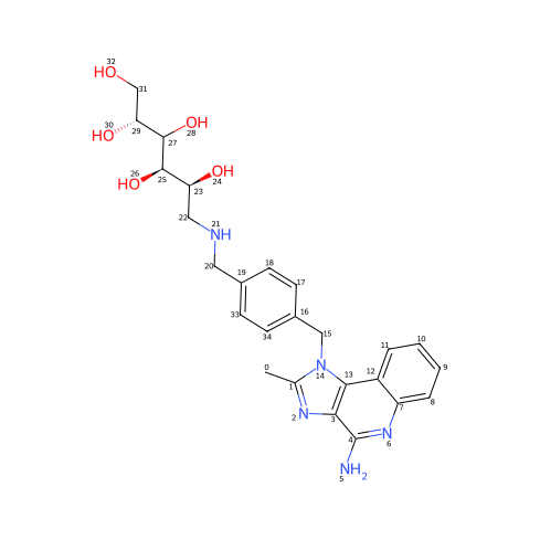 Cc1nc2c(N)nc3ccccc3c2n1Cc1ccc(CNC[C@H](O)[C@@H](O)C(O)[C@H](O)CO)cc1